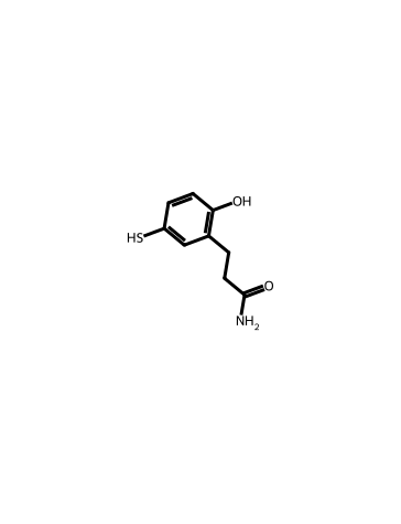 NC(=O)CCc1cc(S)ccc1O